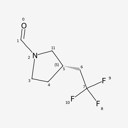 O=CN1CC[C@@H](CC(F)(F)F)C1